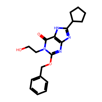 O=c1c2[nH]c(C3CCCC3)nc2nc(OCc2ccccc2)n1CCO